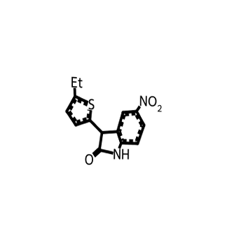 CCc1ccc(C2C(=O)Nc3ccc([N+](=O)[O-])cc32)s1